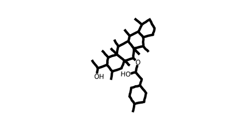 CC1CCC(CC(O)OC2C3(C)C(C)C4CCCC(C)C4C(C)C3C(C)C3(C)C(C)C(C(C)O)C(C)CC23C)CC1